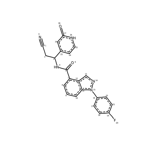 N#CCC(NC(=O)c1cccc2c1cnn2-c1ccc(F)cc1)c1cc[nH]c(=O)c1